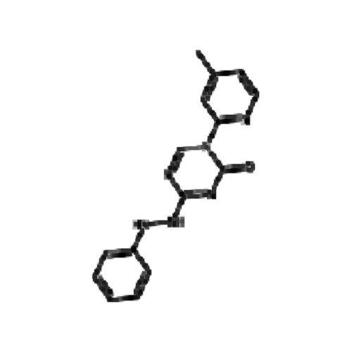 Cc1ccnc(-n2cnc(NNc3ccccc3)nc2=O)c1